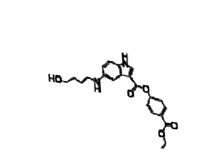 CCOC(=O)c1ccc(OC(=O)c2c[nH]c3ccc(NCCCCO)cc23)cc1